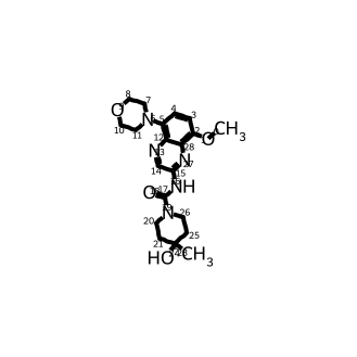 COc1ccc(N2CCOCC2)c2ncc(NC(=O)N3CCC(C)(O)CC3)nc12